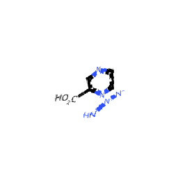 O=C(O)c1cnccn1.[N-]=[N+]=N